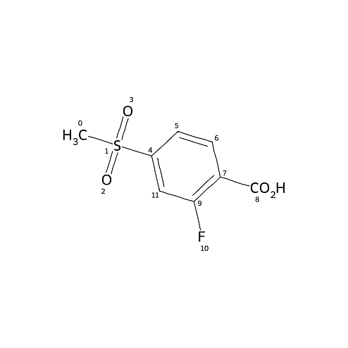 CS(=O)(=O)c1ccc(C(=O)O)c(F)c1